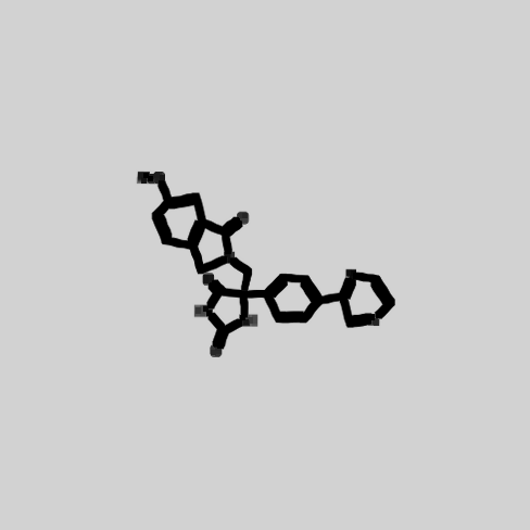 COc1ccc2c(c1)C(=O)N(C[C@@]1(c3ccc(-c4cnccn4)cc3)NC(=O)NC1=O)C2